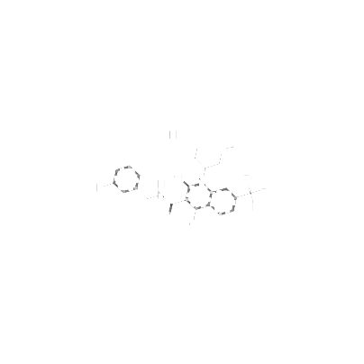 COCC(COC)n1c(=O)c(C(=O)NCc2cccc(F)c2)c(C)c2ccc(C(F)(F)F)cc21